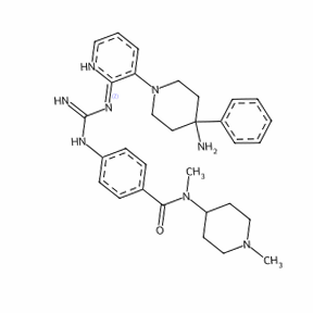 CN1CCC(N(C)C(=O)c2ccc(NC(=N)/N=c3\[nH]cccc3N3CCC(N)(c4ccccc4)CC3)cc2)CC1